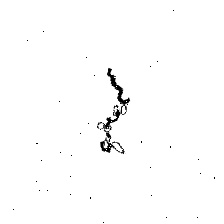 C=C(CC(=O)OC(C)CCCCCC)C(=O)OCCN1CCCC1=O